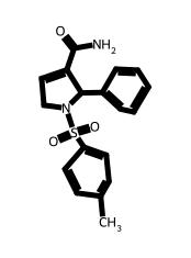 Cc1ccc(S(=O)(=O)N2CC=C(C(N)=O)C2c2ccccc2)cc1